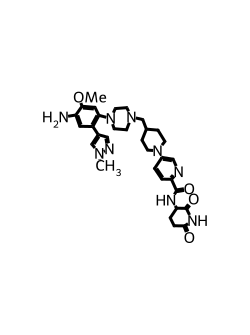 COc1cc(N2CCN(CC3CCN(c4ccc(C(=O)NC5CCC(=O)NC5=O)nc4)CC3)CC2)c(-c2cnn(C)c2)cc1N